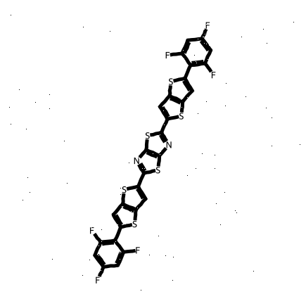 Fc1cc(F)c(-c2cc3sc(-c4nc5sc(-c6cc7sc(-c8c(F)cc(F)cc8F)cc7s6)nc5s4)cc3s2)c(F)c1